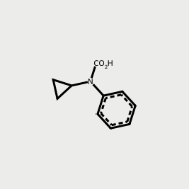 O=C(O)N(c1[c]cccc1)C1CC1